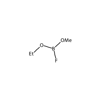 CCOB(F)OC